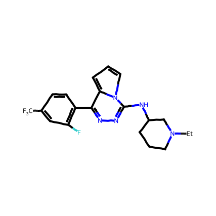 CCN1CCCC(Nc2nnc(-c3ccc(C(F)(F)F)cc3F)c3cccn23)C1